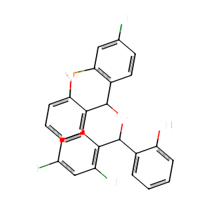 Oc1ccccc1C(OC(c1ccccc1O)c1ccc(Cl)cc1Cl)c1ccc(Cl)cc1Cl